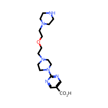 O=C(O)c1cnc(N2CCN(CCOCCN3CCNCC3)CC2)nc1